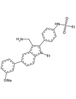 CCn1c(-c2ccc(NS(=O)(=O)CC)cc2)c(CN)c2cc(-c3cccc(OC)c3)ccc21